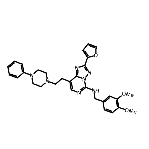 COc1ccc(CNc2ncc(CCN3CCN(c4ccccc4)CC3)c3nc(-c4ccco4)nn23)cc1OC